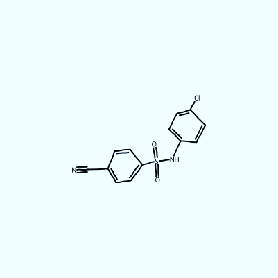 N#Cc1ccc(S(=O)(=O)Nc2ccc(Cl)cc2)cc1